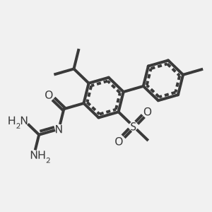 Cc1ccc(-c2cc(C(C)C)c(C(=O)N=C(N)N)cc2S(C)(=O)=O)cc1